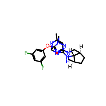 Cc1cc(N2C[C@H]3CC[C@@H](C2)[C@@H]3Nc2nc(Oc3cc(F)cc(F)c3)n(C)n2)ncn1